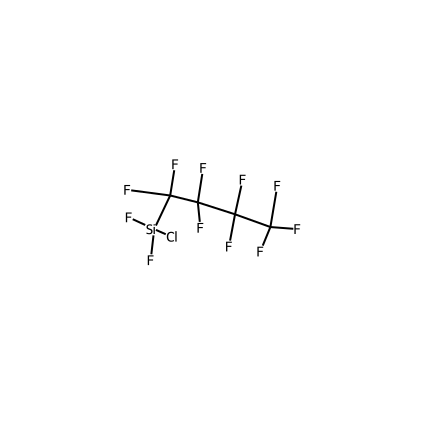 FC(F)(F)C(F)(F)C(F)(F)C(F)(F)[Si](F)(F)Cl